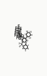 CC1(C)c2ccccc2-c2cc(-c3ccccc3)c(OS(=O)(=O)C(F)(F)C(F)(F)C(F)(F)C(F)(F)F)cc21